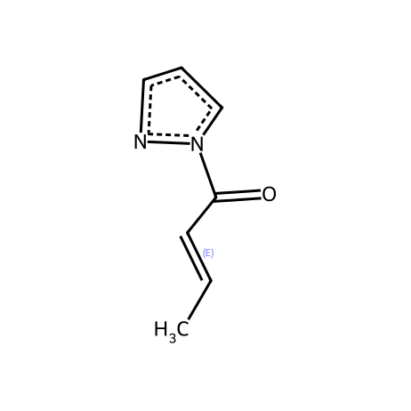 C/C=C/C(=O)n1cccn1